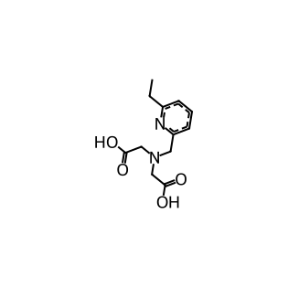 CCc1cccc(CN(CC(=O)O)CC(=O)O)n1